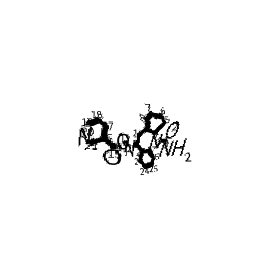 NC(=O)N1c2ccccc2C/C(=N\OC(=O)c2cccnc2)c2ccccc21